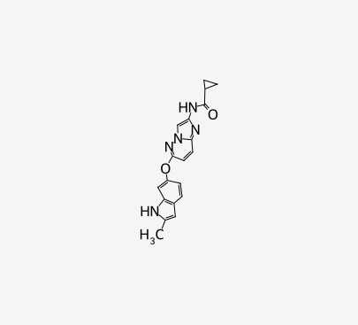 Cc1cc2ccc(Oc3ccc4nc(NC(=O)C5CC5)cn4n3)cc2[nH]1